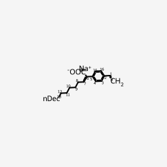 C=Cc1ccc(C(=CCCCCCCCCCCCCCCC)C(=O)[O-])cc1.[Na+]